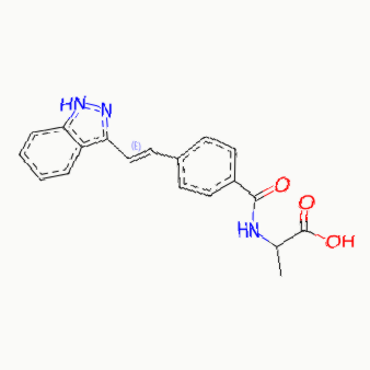 CC(NC(=O)c1ccc(/C=C/c2n[nH]c3ccccc23)cc1)C(=O)O